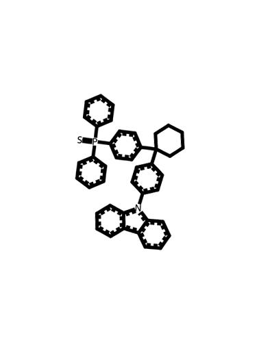 S=P(c1ccccc1)(c1ccccc1)c1ccc(C2(c3ccc(-n4c5ccccc5c5ccccc54)cc3)CCCCC2)cc1